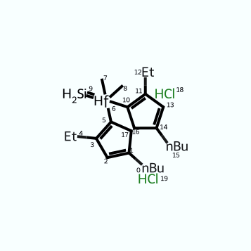 CCCCC1=CC(CC)=[C]([Hf]([CH3])([CH3])(=[SiH2])[C]2=C(CC)C=C(CCCC)C2)C1.Cl.Cl